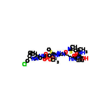 Cc1ncsc1-c1ccc([C@H](C)NC(=O)[C@@H]2C[C@@H](O)CN2C(=O)[C@@H](NC(=O)CCCCCC(=O)N2Cc3cn(CC[C@H](CSc4ccccc4)Nc4ccc(S(=O)(=O)NC(=O)c5ccc(N6CCN(CC7=C(c8ccc(Cl)cc8)CCC(C)(C)C7)CC6)cc5)cc4S(=O)(=O)C(F)(F)F)nc3C2)C(C)(C)C)cc1